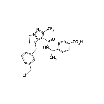 C[C@H](NC(=O)c1c(C(F)(F)F)nn2c1N(Cc1cccc(CCl)c1)CC2)c1ccc(C(=O)O)cc1